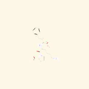 NCCCCC(N[C@@H](CCc1ccccc1)C(=O)O)C(=O)N1CCC[C@H]1C(=O)O